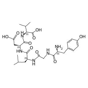 CC(C)C[C@H](NC(=O)CNC(=O)[C@@H](N)Cc1ccc(O)cc1)C(=O)N[C@@H](CC(=O)O)C(=O)N[C@H](C(=O)O)C(C)C